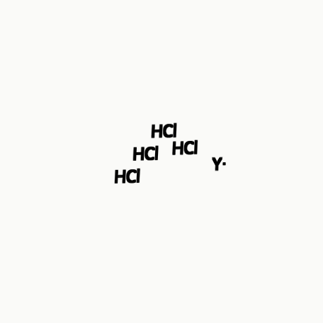 Cl.Cl.Cl.Cl.[Y]